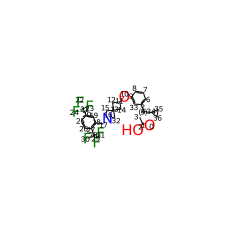 O=C(O)C[C@H](c1cccc(OC2CC3(C2)CN(Cc2cc(C(F)(F)F)ccc2C(F)(F)F)C3)c1)C1CC1